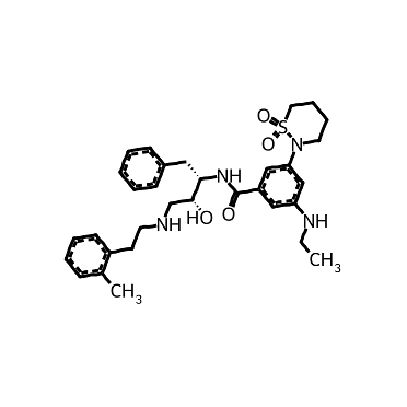 CCNc1cc(C(=O)N[C@@H](Cc2ccccc2)[C@H](O)CNCCc2ccccc2C)cc(N2CCCCS2(=O)=O)c1